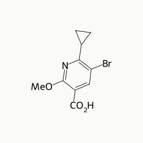 COc1nc(C2CC2)c(Br)cc1C(=O)O